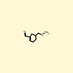 COCC1CCC=C(C=O)C1